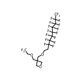 FC(F)(F)COCC1(COCCC(F)(F)C(F)(F)C(F)(F)C(F)(F)C(F)(F)C(F)(F)C(F)(F)C(F)(F)F)COC1